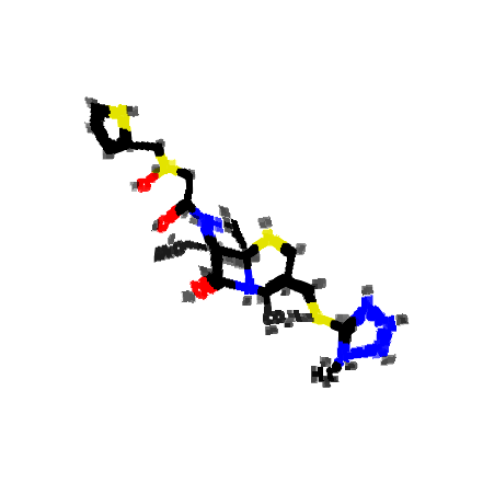 CO[C@@]1(NC(=O)C[S+]([O-])Cc2cccs2)C(=O)N2C(C(=O)O)=C(CSc3nnnn3C)CS[C@@H]21